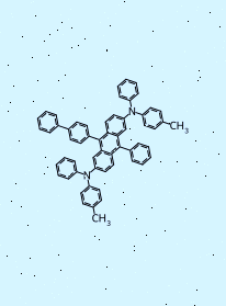 Cc1ccc(N(c2ccccc2)c2ccc3c(-c4ccc(-c5ccccc5)cc4)c4cc(N(c5ccccc5)c5ccc(C)cc5)ccc4c(-c4ccccc4)c3c2)cc1